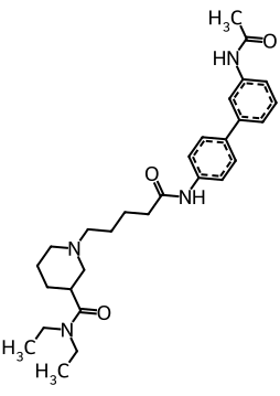 CCN(CC)C(=O)C1CCCN(CCCCC(=O)Nc2ccc(-c3cccc(NC(C)=O)c3)cc2)C1